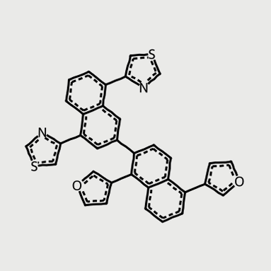 c1cc(-c2cscn2)c2cc(-c3ccc4c(-c5ccoc5)cccc4c3-c3ccoc3)cc(-c3cscn3)c2c1